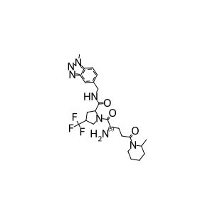 CC1CCCCN1C(=O)CC[C@H](N)C(=O)N1CC(C(F)(F)F)CC1C(=O)NCc1ccc2c(c1)nnn2C